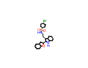 O=S(=O)(NCCc1c(-c2cc3ccccc3o2)[nH]c2ccccc12)c1ccc(Br)cc1